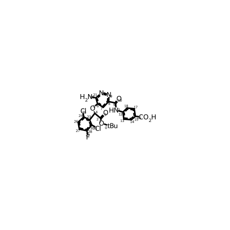 CC(C)(C)OC(=O)[C@@H](Oc1cc(C(=O)Nc2ccc(C(=O)O)cc2)nnc1N)c1c(Cl)ccc(F)c1Cl